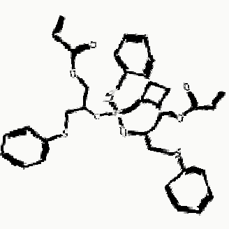 C=CC(=O)OCC(CSc1ccccc1)OP(OC(COC(=O)C=C)CSc1ccccc1)(Sc1ccccc1)=C1CCC1